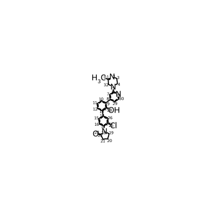 CC1=NCCN(c2cc(-c3cccc(-c4ccc(N5CCCC5=O)c(Cl)c4)c3O)ccn2)C1